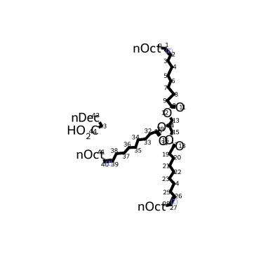 CCCCCCCC/C=C\CCCCCCCC(=O)OCC(COC(=O)CCCCCCC/C=C\CCCCCCCC)OC(=O)CCCCCCC/C=C\CCCCCCCC.CCCCCCCCCCCC(=O)O